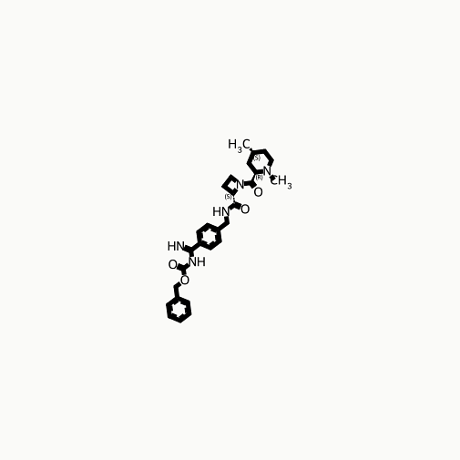 C[C@H]1CCN(C)[C@@H](C(=O)N2CC[C@H]2C(=O)NCc2ccc(C(=N)NC(=O)OCc3ccccc3)cc2)C1